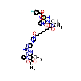 CC(=O)c1c(C)c2cnc(Nc3ccc(N4CCN(C(=O)CCCCCCCCC(=O)N(C)C(C)C(=O)NC(C(=O)N5CCC[C@H]5c5nc(C(=O)c6ccc(F)cc6)cs5)C5CCCCC5)CC4)cn3)nc2n(C2CCCC2)c1=O